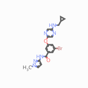 Cn1ccc(NC(=O)c2cc(Br)cc(Oc3cnc(NCC4CC4)cn3)c2)n1